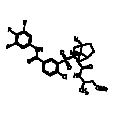 COC[C@@H](C)NC(=O)C[C@@]1(O)C2CC[C@H]1C[C@H](S(=O)(=O)c1cc(C(=O)Nc3cc(F)c(F)c(F)c3)ccc1Cl)C2